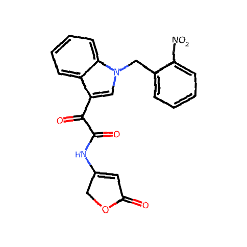 O=C1C=C(NC(=O)C(=O)c2cn(Cc3ccccc3[N+](=O)[O-])c3ccccc23)CO1